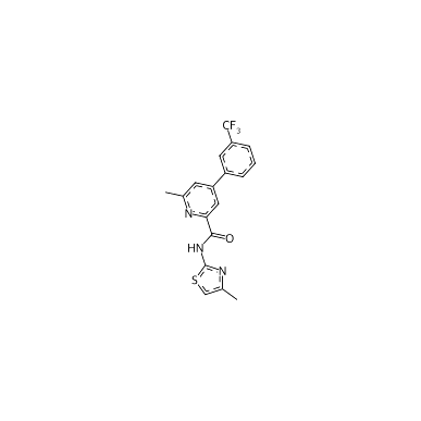 Cc1cc(-c2cccc(C(F)(F)F)c2)cc(C(=O)Nc2nc(C)cs2)n1